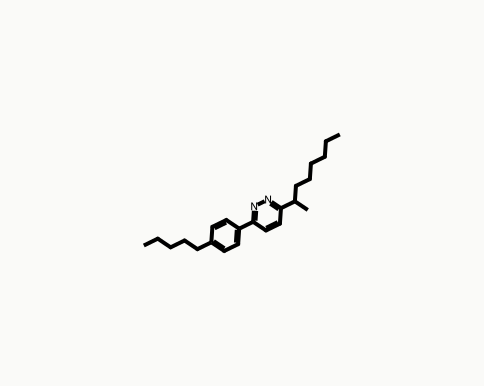 CCCCCCC(C)c1ccc(-c2ccc(CCCCC)cc2)nn1